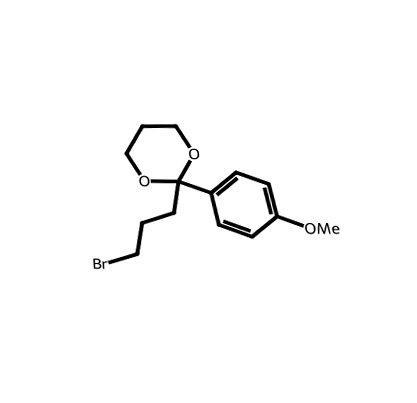 COc1ccc(C2(CCCBr)OCCCO2)cc1